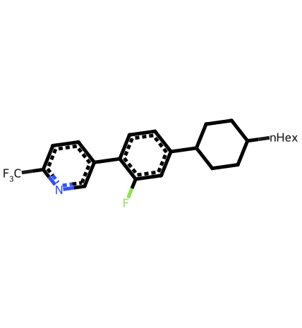 CCCCCCC1CCC(c2ccc(-c3ccc(C(F)(F)F)nc3)c(F)c2)CC1